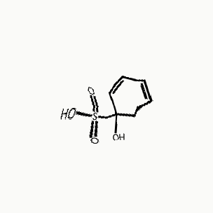 O=S(=O)(O)C1(O)C=CC=CC1